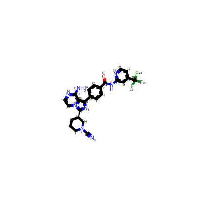 N#CN1CCC[C@@H](c2nc(-c3ccc(C(=O)Nc4cc(C(F)(F)F)ccn4)cc3)c3c(N)nccn23)C1